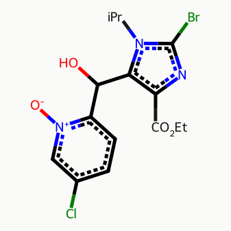 CCOC(=O)c1nc(Br)n(C(C)C)c1C(O)c1ccc(Cl)c[n+]1[O-]